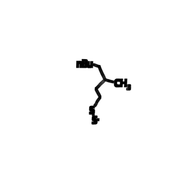 CCCCCC(C)CCS[S]